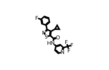 O=C(Nc1ccnc(C(F)(F)F)c1)c1snc(-c2cccc(F)c2)c1C1CC1